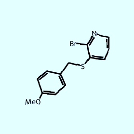 COc1ccc(CSc2cccnc2Br)cc1